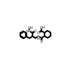 O=C(NO)C(CNC(=O)C1CCCCC1C(=O)O)Cc1ccccc1